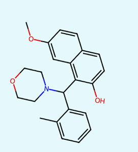 COc1ccc2ccc(O)c(C(c3ccccc3C)N3CCOCC3)c2c1